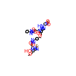 CCOCC1=Cc2cnc(SC)nc2N(CCCS(=O)(=O)n2cnc(-c3ccc(C(C)OCc4cc5cnc(NC6CCN(S(C)(=O)=O)CC6)nc5n(CCCS(=O)(=O)n5cnc(-c6ccccc6)n5)c4=O)cc3)n2)C1O